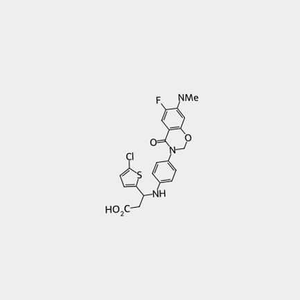 CNc1cc2c(cc1F)C(=O)N(c1ccc(NC(CC(=O)O)c3ccc(Cl)s3)cc1)CO2